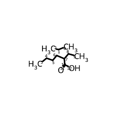 CCC.CCCCC(CC)C(=O)O